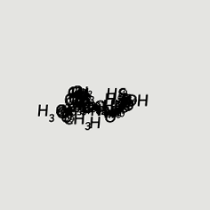 CCC(C)(C)C(=O)C(=O)N1CCCC[C@H]1C(=O)O[C@H](CCc1ccc(OC)c(OC)c1)c1cccc(OCCNC(=O)CCCNC(=O)c2cccc(NC(=O)[C@@H]3C[C@H](S)CN3C(=O)O)c2)c1